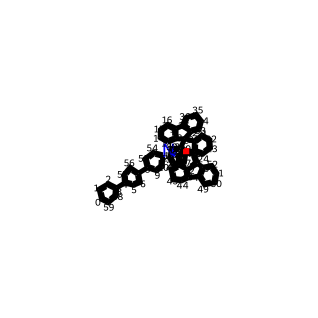 c1ccc(-c2ccc(-c3ccc(N(c4cccc5c4C4(c6ccccc6-c6ccccc64)c4ccccc4-5)c4ccc5c6c(cccc46)-c4ccccc4-5)cc3)cc2)cc1